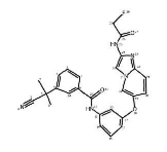 CC(C)(C#N)c1cccc(C(=O)Nc2cccc(Oc3ccc4nc(NC(=O)CF)cn4c3)c2)c1